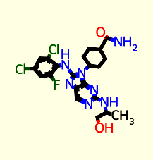 CC(CO)Nc1ncc2nc(Nc3c(F)cc(Cl)cc3Cl)n(C3CCC(C(N)=O)CC3)c2n1